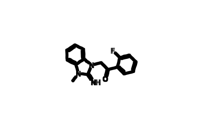 Cn1c(=N)n(CC(=O)c2ccccc2F)c2ccccc21